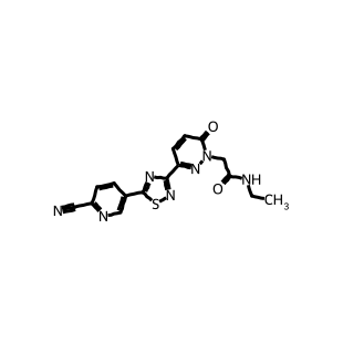 CCNC(=O)Cn1nc(-c2nsc(-c3ccc(C#N)nc3)n2)ccc1=O